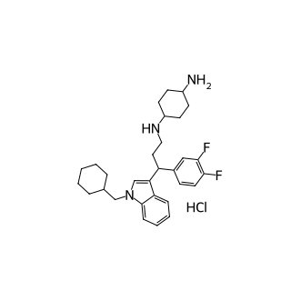 Cl.NC1CCC(NCCC(c2ccc(F)c(F)c2)c2cn(CC3CCCCC3)c3ccccc23)CC1